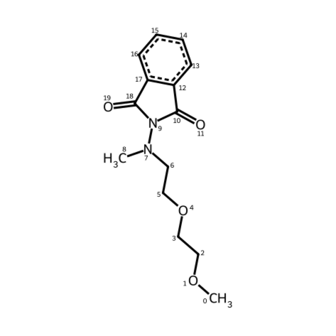 COCCOCCN(C)N1C(=O)c2ccccc2C1=O